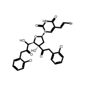 O=C(Cc1ccccc1Cl)C(O)[C@H]1O[C@@H](n2cc(/C=C/Br)c(=O)[nH]c2=O)C[C@@]1(O)C(=O)Cc1ccccc1Cl